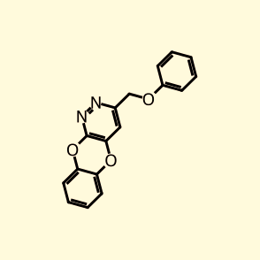 c1ccc(OCc2cc3c(nn2)Oc2ccccc2O3)cc1